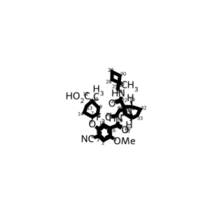 COc1cc(C#N)c(O[C@H]2CC[C@@](C)(C(=O)O)CC2)cc1C(=O)N[C@@H]1C(C(=O)NCC2(C)CCC2)[C@@H]2CC[C@H]1N2CCC(F)(F)F